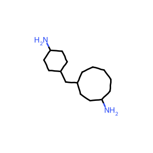 NC1CCCCCC(CC2CCC(N)CC2)CC1